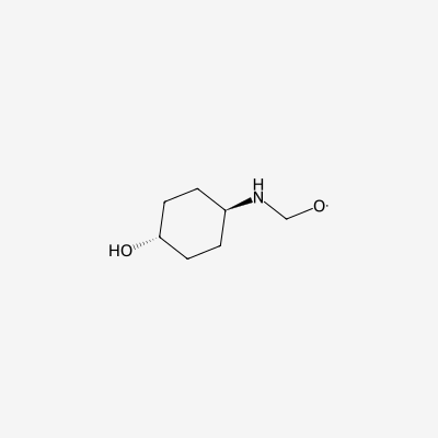 [O]CN[C@H]1CC[C@H](O)CC1